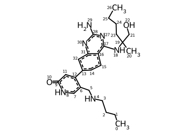 CCCCNCc1c[nH]c(=O)cc1-c1ccc2c(NC(C)(CO)CCCC)nc(N)nc2c1